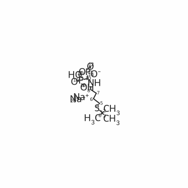 CC(C)(C)SCCCCNC(P(=O)([O-])[O-])P(=O)(O)O.[Na+].[Na+]